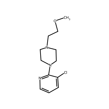 COCCN1CCN(c2ncccc2Cl)CC1